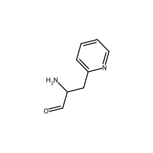 NC(C=O)Cc1ccccn1